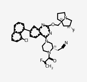 C=C(F)C(=O)N1CCN(c2nc(OC[C@@]34CCCN3C[C@H](F)C4)nc3cc(-c4cccc5cccc(Cl)c45)ccc23)C[C@@H]1CC#N